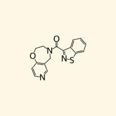 O=C(c1nsc2ccccc12)N1CCOc2ccncc2C1